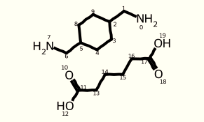 NCC1CCC(CN)CC1.O=C(O)CCCCC(=O)O